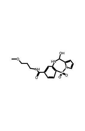 COCCCNC(=O)c1ccc2c(c1)NC(O)c1cccn1S2(=O)=O